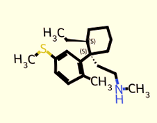 CC[C@H]1CCCC[C@@]1(CCNC)c1cc(SC)ccc1C